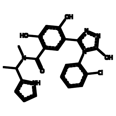 CC(c1ccc[nH]1)N(C)C(=O)c1cc(-c2nnc(O)n2-c2ccccc2Cl)c(O)cc1O